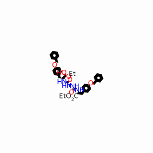 CCOC(=O)[C@H](Cc1ccc(OCc2ccccc2)cc1)NC(=O)NNC(=O)N[C@@H](Cc1ccc(OCc2ccccc2)cc1)C(O)OCC